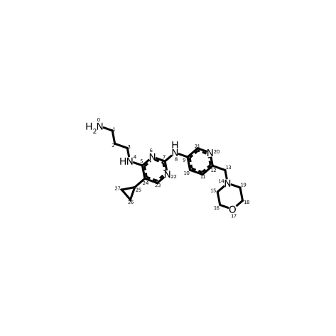 NCCCNc1nc(Nc2ccc(CN3CCOCC3)nc2)ncc1C1CC1